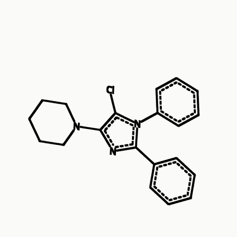 Clc1c(N2CCCCC2)nc(-c2ccccc2)n1-c1ccccc1